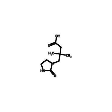 CC(C)(CC(=O)O)CN1CCNC1=O